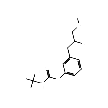 COCC(N)Cc1cccc(OC(=O)NC(C)(C)C)c1